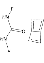 O=C(NF)NF.c1cc2ccc1-2